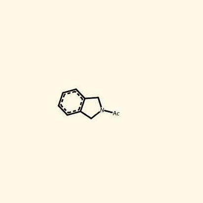 CC(=O)N1Cc2ccccc2C1